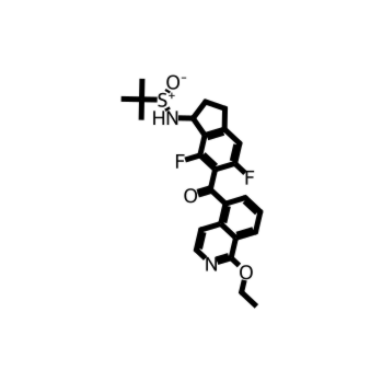 CCOc1nccc2c(C(=O)c3c(F)cc4c(c3F)C(N[S+]([O-])C(C)(C)C)CC4)cccc12